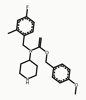 C=C(OCc1ccc(OC)cc1)N(Cc1ccc(F)cc1C)C1CCNCC1